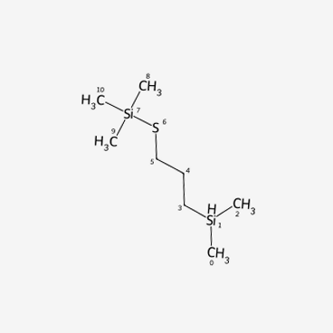 C[SiH](C)CCCS[Si](C)(C)C